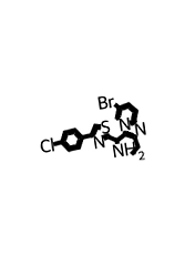 CCc1nc2ccc(Br)cn2c1C(N)c1nc(-c2ccc(Cl)cc2)cs1